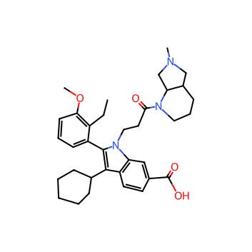 CCc1c(OC)cccc1-c1c(C2CCCCC2)c2ccc(C(=O)O)cc2n1CCC(=O)N1CCCC2CN(C)CC21